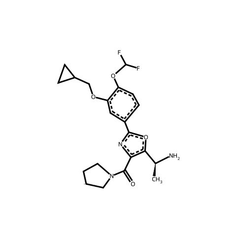 C[C@H](N)c1oc(-c2ccc(OC(F)F)c(OCC3CC3)c2)nc1C(=O)N1C[CH]CC1